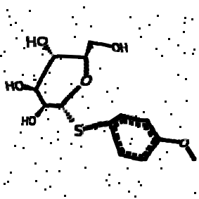 COc1ccc(S[C@H]2O[C@H](CO)[C@@H](O)[C@H](O)[C@@H]2O)cc1